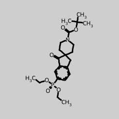 CCOP(=O)(OCC)c1ccc2c(c1)C(=O)C1(CCN(C(=O)OC(C)(C)C)CC1)C2